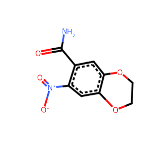 NC(=O)c1cc2c(cc1[N+](=O)[O-])OCCO2